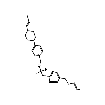 CC=CCCc1ccc(CC(F)(F)OCc2ccc(C3CCC(C=CC)CC3)cc2)cc1